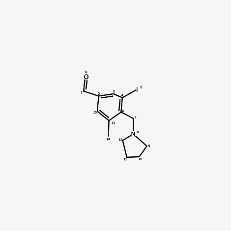 O=Cc1cc(I)c(CN2CCCC2)c(I)c1